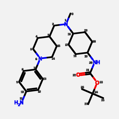 CN(CC1CCN(c2ccc(N)cc2)CC1)C1CCC(NC(=O)OC(C)(C)C)CC1